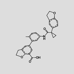 Cc1ccc(NC(=O)C2(c3ccc4c(c3)CCO4)CC2)cc1-c1cc2c(c(C(=O)O)c1)OCC2